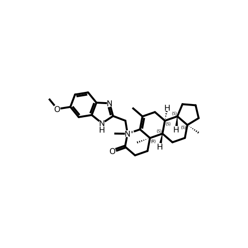 COc1ccc2nc(C[N+]3(C)C(=O)CC[C@@]4(C)C3=C(C)C[C@H]3[C@@H]5CCC[C@@]5(C)CC[C@@H]34)[nH]c2c1